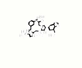 CCCCN(C(=O)CN1C[C@H](c2cc(CO)c3c(c2)OCO3)[C@@H](C(=O)O)[C@@H]1CCc1ncc(C)o1)c1cccc(CN)c1